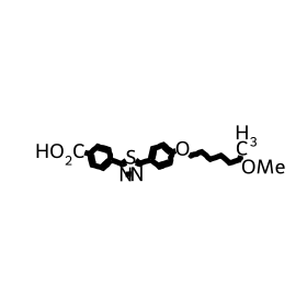 COC(C)CCCCCOc1ccc(-c2nnc(-c3ccc(C(=O)O)cc3)s2)cc1